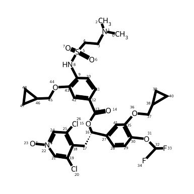 CN(C)CCS(=O)(=O)Nc1ccc(C(=O)O[C@@H](Cc2c(Cl)c[n+]([O-])cc2Cl)c2ccc(OC(F)F)c(OCC3CC3)c2)cc1OCC1CC1